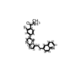 CNC(=O)c1ccc(-c2cnc3ncc(CCc4ccc5ncccc5c4)n3n2)cc1F